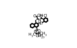 CC1(C)OB(c2ccc(C[C@H](NC(=O)c3c(Cl)cccc3Cl)C(=O)O)c3ccccc23)OC1(C)C